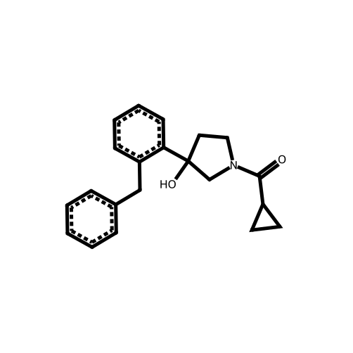 O=C(C1CC1)N1CCC(O)(c2ccccc2Cc2ccccc2)C1